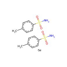 Cc1ccc(S(N)(=O)=O)cc1.Cc1ccc(S(N)(=O)=O)cc1.[Se]